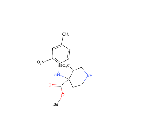 CCOC(=O)C1CNCCC1(Nc1ccc(C)cc1[N+](=O)[O-])C(=O)OC(C)(C)C